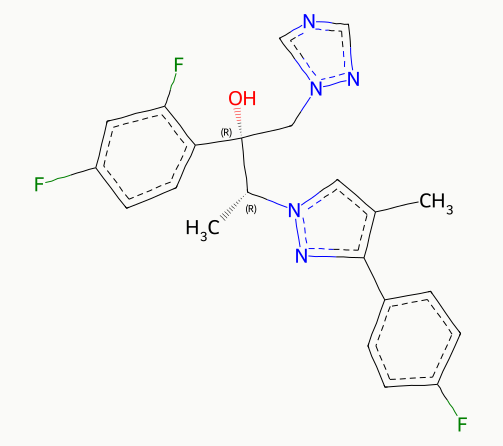 Cc1cn([C@H](C)[C@](O)(Cn2cncn2)c2ccc(F)cc2F)nc1-c1ccc(F)cc1